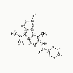 Cc1c(NC(=O)N2CCOCC2)ccc2c1c1cc(F)ccc1n2C(C)C